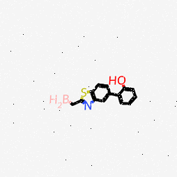 BCc1nc2cc(-c3ccccc3O)ccc2s1